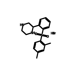 Br.Cc1ccc(S(=O)(=O)c2ccccc2C2CNCCN2)c(C)c1